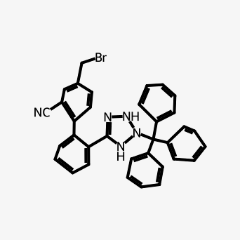 N#Cc1cc(CBr)ccc1-c1ccccc1C1=NNN(C(c2ccccc2)(c2ccccc2)c2ccccc2)N1